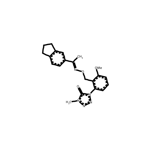 COc1cccc(-n2nnn(C)c2=O)c1CON=C(C)c1ccc2c(c1)CCC2